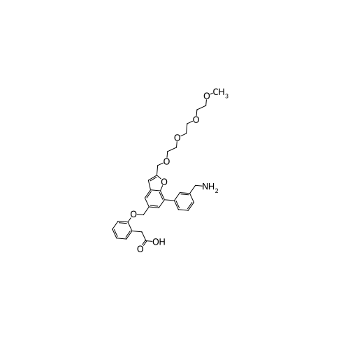 COCCOCCOCCOCc1cc2cc(COc3ccccc3CC(=O)O)cc(-c3cccc(CN)c3)c2o1